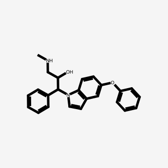 CNCC(O)C(c1ccccc1)n1ccc2cc(Oc3ccccc3)ccc21